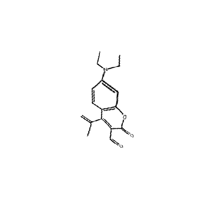 C=C(C)c1c(C=O)c(=O)oc2cc(N(CC)CC)ccc12